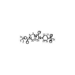 CC(C)(C)OC(=O)N1CCN2C(=O)N(c3ccc(S(C)(=O)=O)cc3)CC2C1